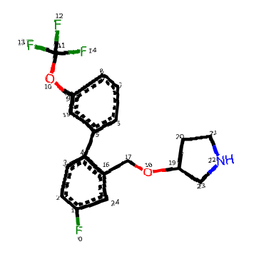 Fc1ccc(-c2cccc(OC(F)(F)F)c2)c(COC2CCNC2)c1